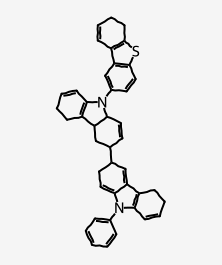 C1=CC2=C(CC1)C1CC(C3C=c4c5c(n(-c6ccccc6)c4=CC3)C=CCC5)C=CC1N2c1ccc2sc3c(c2c1)C=CCC3